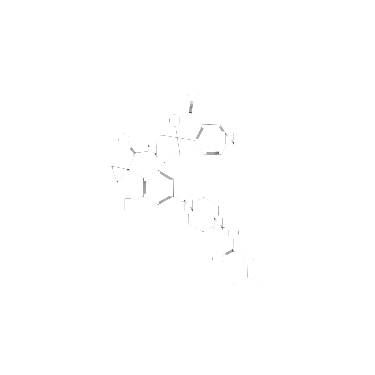 CC(C)OC(=O)ON1CCN(c2ccc(C3(C(=O)N4CCC5(C4)OC(=O)c4cnccc45)CC3)c(F)c2)CC1